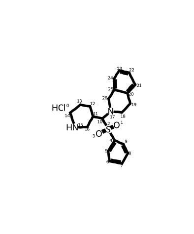 Cl.O=S(=O)(c1ccccc1)C(C1CCCNC1)N1CCc2ccccc2C1